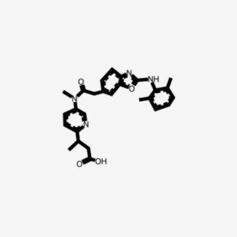 Cc1cccc(C)c1Nc1nc2ccc(CC(=O)N(C)c3ccc(C(C)CC(=O)O)nc3)cc2o1